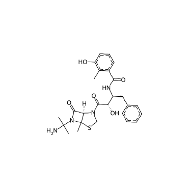 Cc1c(O)cccc1C(=O)N[C@@H](Cc1ccccc1)[C@H](O)C(=O)N1CSC2(C)[C@H]1C(=O)N2C(C)(C)N